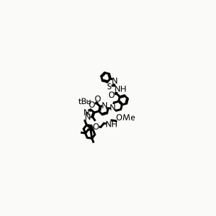 COCCNCCOC12CC3(C)CC(C)(CC(Cn4ncc(-c5ccc(N6CCc7cccc(C(=O)Nc8nc9ccccc9s8)c7C6)nc5C(=O)OC(C)(C)C)c4C)(C3)C1)C2